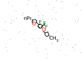 CCCC1CCC(c2ccc(OCC3CCC(C)CC3)c(C(F)F)c2F)OC1